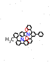 Cc1ccccc1-c1cccc2c3ccccc3n(-c3cccc4c3C(=O)N(c3c(-c5ccccc5)cc(-c5ccccc5)cc3-c3ccccc3)C4=O)c12